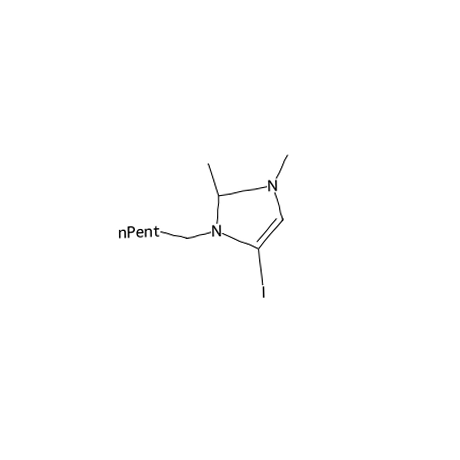 CCCCCCN1C(I)=CN(C)C1C